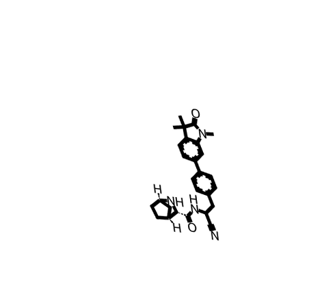 CN1C(=O)C(C)(C)c2ccc(-c3ccc(CC(C#N)NC(=O)[C@H]4N[C@@H]5CC[C@H]4C5)cc3)cc21